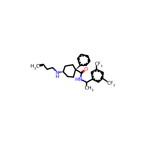 C=CCCN[C@H]1CC[C@@](C(=O)NC(C)c2cc(C(F)(F)F)cc(C(F)(F)F)c2)(c2ccccc2)CC1